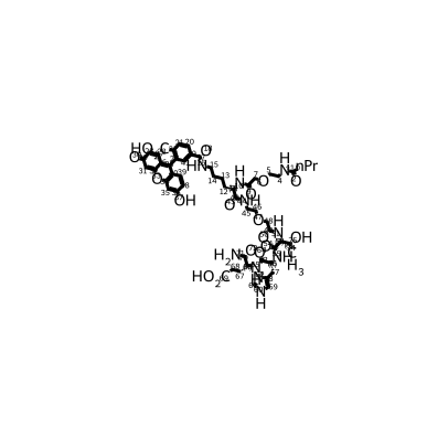 CCCC(=O)NCCOCC(=O)N[C@H](CCCCNC(=O)c1ccc(C(=O)O)c(-c2c3ccc(=O)cc-3oc3cc(O)ccc23)c1)C(=O)NCCOCC(=O)N[C@@H](C(=O)N[C@H](Cc1c[nH]cn1)C(=O)N[C@H](CCC(=O)O)C(N)=O)[C@H](C)O